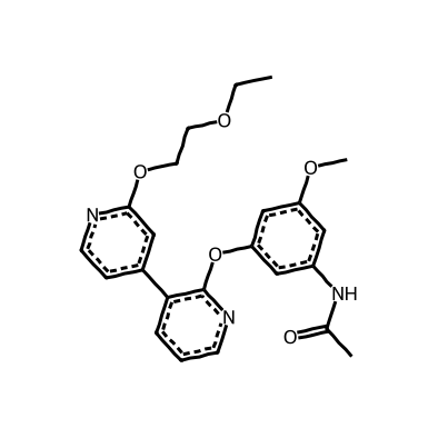 CCOCCOc1cc(-c2cccnc2Oc2cc(NC(C)=O)cc(OC)c2)ccn1